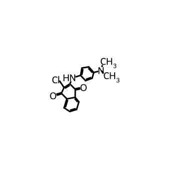 CN(C)c1ccc(NC2=C(Cl)C(=O)c3ccccc3C2=O)cc1